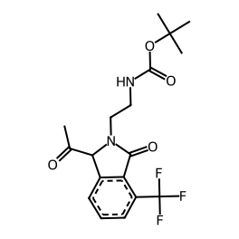 CC(=O)C1c2cccc(C(F)(F)F)c2C(=O)N1CCNC(=O)OC(C)(C)C